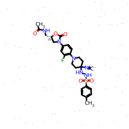 [C-]#[N+]C1(NNS(=O)(=O)c2ccc(C)cc2)CCN(c2ccc(N3C[C@H](CNC(C)=O)OC3=O)cc2F)CC1